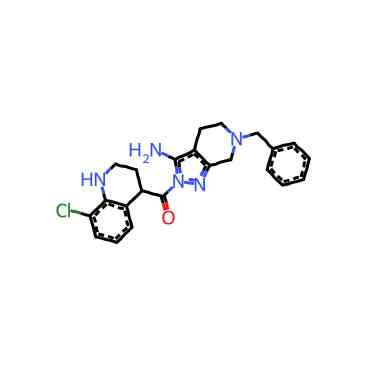 Nc1c2c(nn1C(=O)C1CCNc3c(Cl)cccc31)CN(Cc1ccccc1)CC2